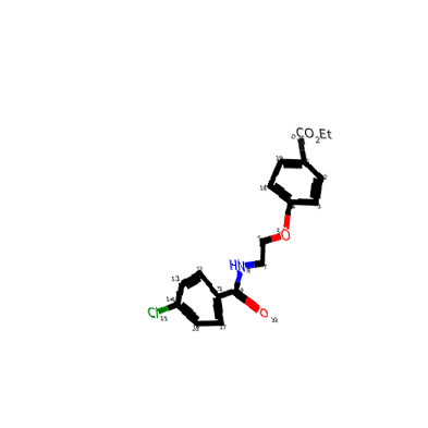 CCOC(=O)c1ccc(OCCNC(=O)c2ccc(Cl)cc2)cc1